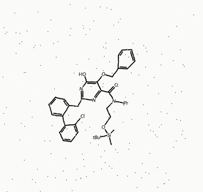 CC(C)N(CCO[Si](C)(C)C(C)(C)C)C(=O)c1nc(Cc2ccccc2-c2ccccc2Cl)nc(O)c1OCc1ccccc1